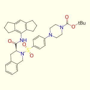 CC(C)(C)OC(=O)N1CCN(c2ccc(S(=O)(=O)N3Cc4ccccc4C[C@H]3C(=O)Nc3c4c(cc5c3CCC5)CCC4)cc2)CC1